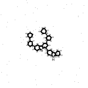 c1ccc(-c2cccc(-c3ccc4sc5c(-c6ccc7[nH]c8ccccc8c7c6)cc(-c6cccc(-c7ccccc7)c6)cc5c4c3)c2)cc1